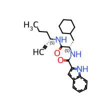 C#C[C@H](CCC)NC(=O)[C@H](CC1CCCCC1)NC(=O)c1cc2ccccc2[nH]1